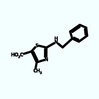 Cc1nc(NCc2ccccc2)sc1C(=O)O